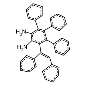 Nc1c(N)c(-c2ccccc2)c(-c2ccccc2)c(-c2ccccc2)c1C(=Cc1ccccc1)c1ccccc1